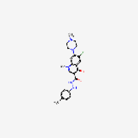 CCn1cc(C(=O)NNc2ccc(C)cc2)c(=O)c2cc(F)c(N3CCN(C)CC3)cc21